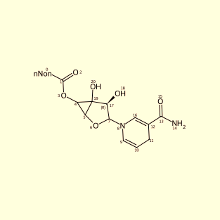 CCCCCCCCCC(=O)OC1C2OC(N3C=CCC(C(N)=O)=C3)[C@H](O)C12O